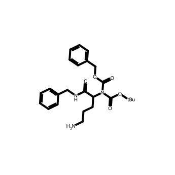 CC(C)(C)OC(=O)N(C(=O)OCc1ccccc1)C(CCCN)C(=O)NCc1ccccc1